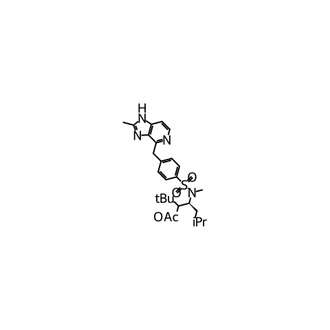 CC(=O)OC([C@H](CC(C)C)N(C)S(=O)(=O)c1ccc(Cc2nccc3[nH]c(C)nc23)cc1)C(C)(C)C